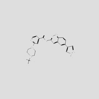 [2H]C([2H])([2H])N1CCN(c2cc(C(=O)Nc3cc4cc(-c5cnn(C)c5)ccc4nn3)ccn2)CC1